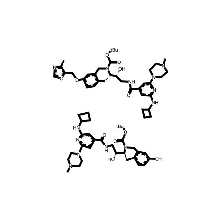 CN1CCN(c2cc(C(=O)NC[C@@H](O)[C@@H]3Cc4ccc(O)cc4CN3C(=O)OC(C)(C)C)cc(NC3CCC3)n2)CC1.Cc1ncoc1COc1ccc2c(c1)CN(C(=O)OC(C)(C)C)[C@H]([C@H](O)CNC(=O)c1cc(NC3CCC3)nc(N3CCN(C)CC3)c1)C2